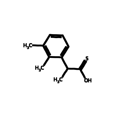 Cc1cccc(C(C)C(O)=S)c1C